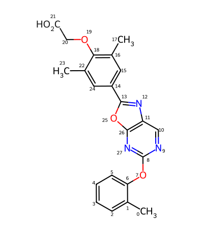 Cc1ccccc1Oc1ncc2nc(-c3cc(C)c(OCC(=O)O)c(C)c3)oc2n1